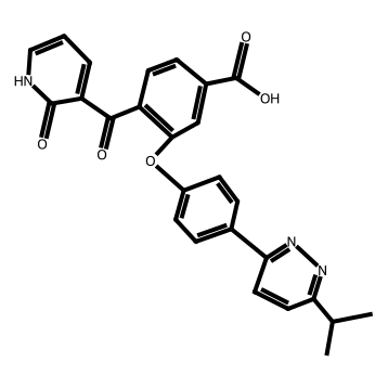 CC(C)c1ccc(-c2ccc(Oc3cc(C(=O)O)ccc3C(=O)c3ccc[nH]c3=O)cc2)nn1